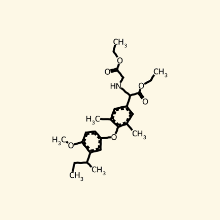 CCOC(=O)CNC(C(=O)OCC)c1cc(C)c(Oc2ccc(OC)c(C(C)CC)c2)c(C)c1